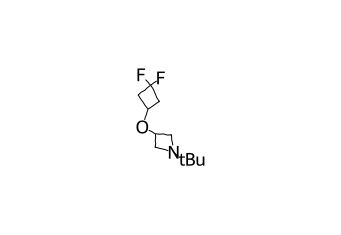 CC(C)(C)N1CC(OC2CC(F)(F)C2)C1